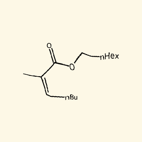 CCCCC=C(C)C(=O)OCCCCCCC